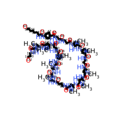 Cn1cc(NC(=O)c2cc(NC(=O)c3cc(NC(=O)CCNC(=O)c4cc(NC(=O)c5cc(NC(=O)CCNC(=O)CCNC(=O)c6ccc(NC(=O)CCCCCCC=O)cc6)cn5C)cn4C)cn3C)cn2C)cc1C(=O)NCCCC(=O)Nc1cn(C)c(C(=O)Nc2cn(C)c(C(=O)Nc3cn(C)c(C(=O)NCCC(=O)Nc4cc(C(=O)Nc5cn(C)c(C(=O)NCCC=O)n5)n(C)c4)n3)n2)n1